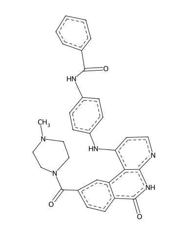 CN1CCN(C(=O)c2ccc3c(=O)[nH]c4nccc(Nc5ccc(NC(=O)c6ccccc6)cc5)c4c3c2)CC1